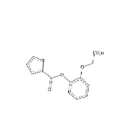 O=C(O)COc1ccccc1OC(=O)c1cccs1